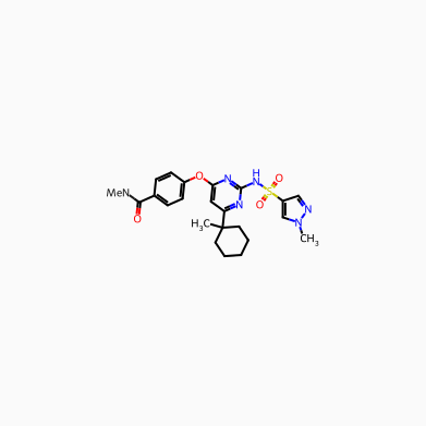 CNC(=O)c1ccc(Oc2cc(C3(C)CCCCC3)nc(NS(=O)(=O)c3cnn(C)c3)n2)cc1